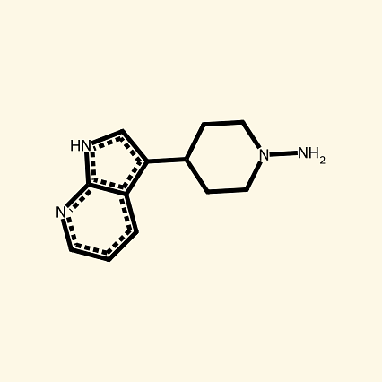 NN1CCC(c2c[nH]c3ncccc23)CC1